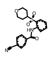 N#Cc1ccc(C(=O)Nc2ccccc2S(=O)(=O)C2CCOCC2)cc1